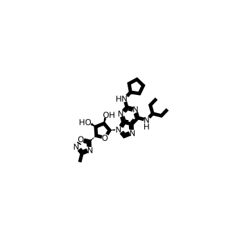 CCC(CC)Nc1nc(NC2CCCC2)nc2c1ncn2[C@@H]1O[C@H](c2nc(C)no2)[C@@H](O)[C@H]1O